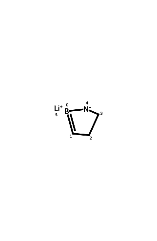 B1=CCC[N-]1.[Li+]